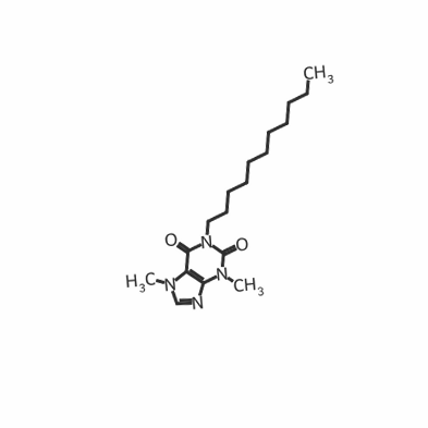 CCCCCCCCCCCn1c(=O)c2c(ncn2C)n(C)c1=O